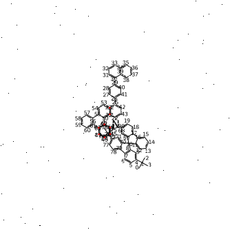 CC(C)(C)c1ccc2c(c1)C1(c3ccccc3-c3ccc(N(c4ccc(-c5ccc(-c6cccc7ccccc67)cc5)cc4)c4ccccc4-c4ccccc4-c4ccccc4-c4ccccc4)cc31)c1cc(C(C)(C)C)ccc1-2